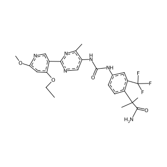 CCOc1cc(OC)ncc1-c1ncc(NC(=O)Nc2ccc(C(C)(C)C(N)=O)c(C(F)(F)F)c2)c(C)n1